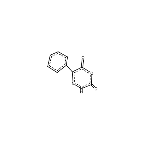 O=c1[nH]nc(-c2ccccc2)c(=O)o1